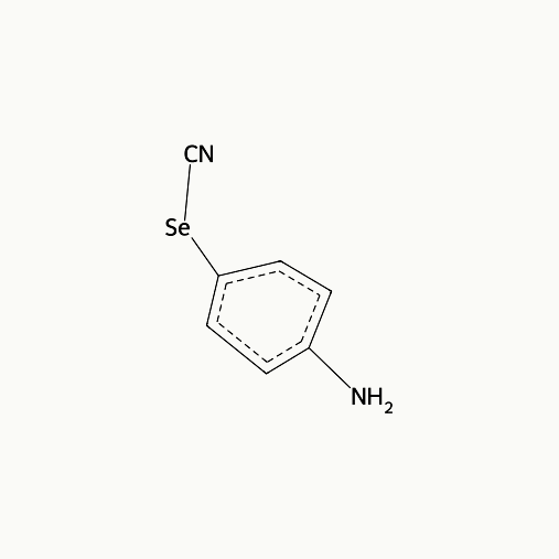 N#C[Se]c1ccc(N)cc1